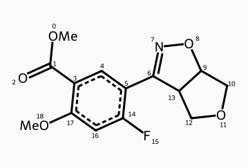 COC(=O)c1cc(C2=NOC3COCC23)c(F)cc1OC